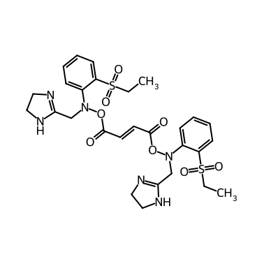 CCS(=O)(=O)c1ccccc1N(CC1=NCCN1)OC(=O)/C=C/C(=O)ON(CC1=NCCN1)c1ccccc1S(=O)(=O)CC